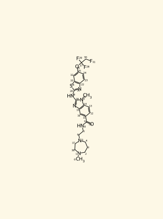 CN1CCCN(CCNC(=O)c2ccc3c(c2)nc(Nc2nc4ccc(OC(F)(F)CF)cc4s2)n3C)CC1